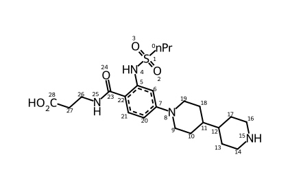 CCCS(=O)(=O)Nc1cc(N2CCC(C3CCNCC3)CC2)ccc1C(=O)NCCC(=O)O